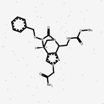 CC(C)(C)OC(=O)NCC1c2nn(CC(N)=O)cc2[C@H]2CN1C(=O)N2OCc1ccccc1